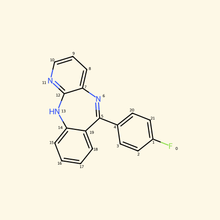 Fc1ccc(C2=Nc3cccnc3Nc3ccccc32)cc1